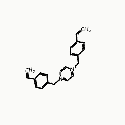 C=Cc1ccc(C[n+]2cc[n+](Cc3ccc(C=C)cc3)cc2)cc1